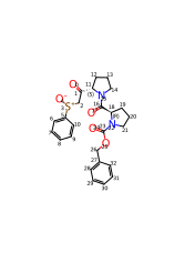 O=C(C[S+]([O-])c1ccccc1)[C@@H]1CCCN1C(=O)[C@H]1CCCN1C(=O)OCc1ccccc1